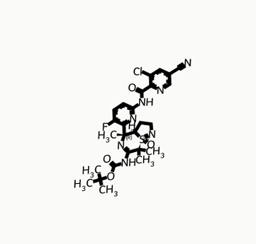 CC(C)(C)OC(=O)NC1=N[C@](C)(c2nc(NC(=O)c3ncc(C#N)cc3Cl)ccc2F)[C@@H]2CCN=[S@]2(=O)C1(C)C